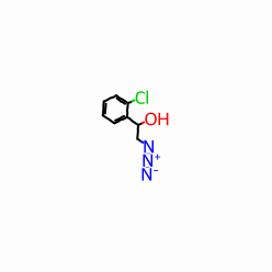 [N-]=[N+]=NCC(O)c1ccccc1Cl